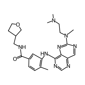 Cc1ccc(C(=O)NCC2CCOC2)cc1Nc1ncnc2cnc(N(C)CCN(C)C)nc12